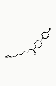 CCCCCCCCCCCCCCCCC(=O)C1CCC(c2ccc(F)cc2)CC1